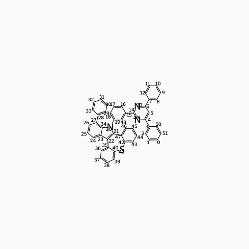 c1ccc(-c2cc(-c3ccccc3)nc(-c3cccc(-n4c5c(c6cccc(-c7ccccc7)c64)-c4ccccc4Sc4ccccc4-5)c3)n2)cc1